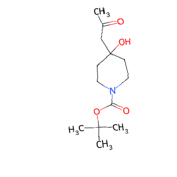 CC(=O)CC1(O)CCN(C(=O)OC(C)(C)C)CC1